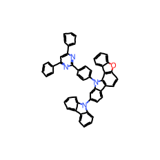 c1ccc(-c2cc(-c3ccccc3)nc(-c3ccc(-n4c5cc(-n6c7ccccc7c7ccccc76)ccc5c5ccc6oc7ccccc7c6c54)cc3)n2)cc1